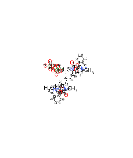 CN(C)C(=O)Oc1ccccc1C[N+](C)(C)CC(=O)CCCCCCC(=O)C[N+](C)(C)Cc1ccccc1OC(=O)N(C)C.[O-][Cl+3]([O-])([O-])[O-].[O-][Cl+3]([O-])([O-])[O-]